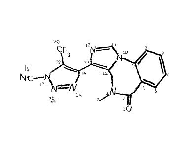 Cn1c(=O)c2ccccc2n2cnc(-c3nnn(C#N)c3C(F)(F)F)c12